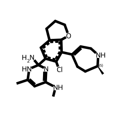 CNC1=NC(N)(c2cc3c(c(C4=CCN[C@@H](C)CC4)c2Cl)OCCC3)NC(C)=C1